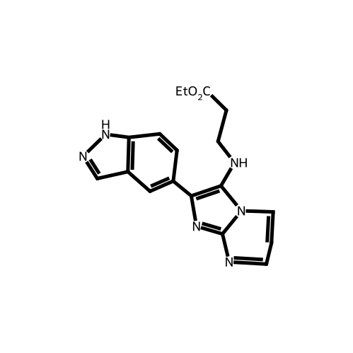 CCOC(=O)CCNc1c(-c2ccc3[nH]ncc3c2)nc2ncccn12